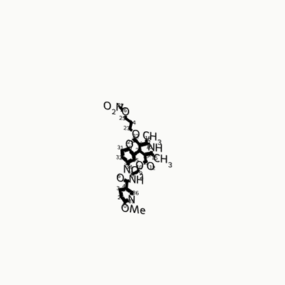 COc1ccc(C(=O)NCCOC(=O)C2=C(C)NC(C)=C(C(=O)OCCCO[N+](=O)[O-])C2c2cccc([N+](=O)[O-])c2)cn1